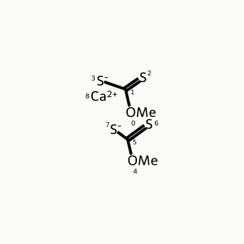 COC(=S)[S-].COC(=S)[S-].[Ca+2]